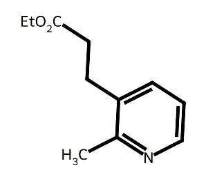 CCOC(=O)CCc1cccnc1C